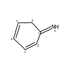 N=C1[C]=CC=CC1